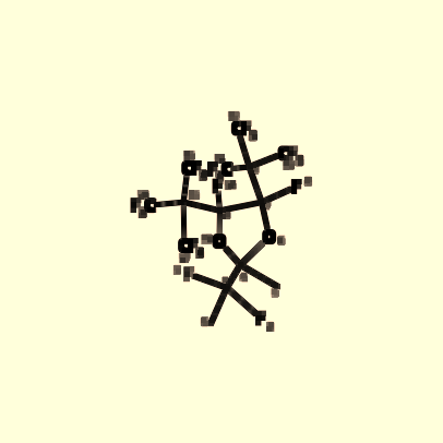 CC(F)(F)C1(C)OC(F)(C(C(F)(F)F)(C(F)(F)F)C(F)(F)F)C(F)(C(C(F)(F)F)(C(F)(F)F)C(F)(F)F)O1